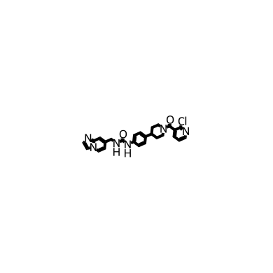 O=C(NCc1ccn2ccnc2c1)Nc1ccc(C2CCN(C(=O)c3cccnc3Cl)CC2)cc1